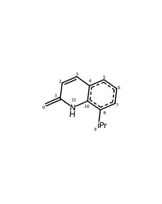 C=C1C=Cc2cccc(C(C)C)c2N1